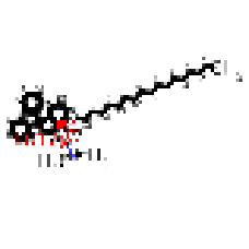 CCCCCCCCCCCCCCCCCCOCC(OC(=O)N(C)C)C(O)C(c1ccccc1)(c1ccccc1)c1ccccc1